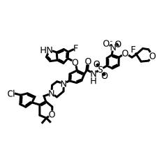 CC1(C)CC(c2ccc(Cl)cc2)=C(CN2CCN(c3ccc(C(=O)NS(=O)(=O)c4ccc(OCC5(F)CCOCC5)c([N+](=O)[O-])c4)c(Oc4cc5cc[nH]c5cc4F)c3)CC2)CO1